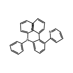 c1ccc(N(c2ccccc2)c2cccc(-c3ccccn3)c2-c2ccccn2)cc1